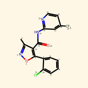 Cc1noc(-c2ccccc2Cl)c1C(=O)Nc1cc(C(F)(F)F)ccn1